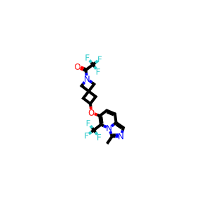 Cc1ncc2ccc(OC3CC4(C3)CN(C(=O)C(F)(F)F)C4)c(C(F)(F)F)n12